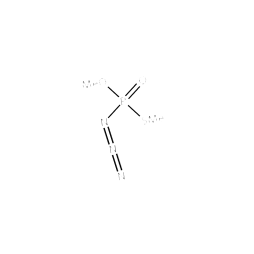 COP(=O)(N=[N+]=[N-])SC